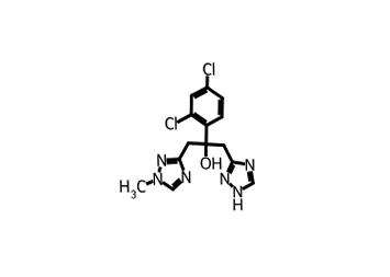 Cn1cnc(CC(O)(Cc2nc[nH]n2)c2ccc(Cl)cc2Cl)n1